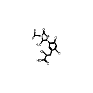 CC1N(c2cc(CC(Cl)C(=O)O)c(Cl)cc2Cl)NC(=O)N1C(F)F